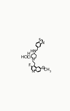 COc1ccc2ncc(F)c(CCN3CCC(NCc4ccc5scnc5c4)CC3)c2c1.Cl.Cl